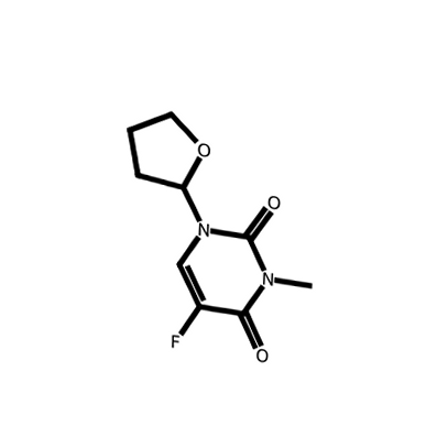 Cn1c(=O)c(F)cn(C2CCCO2)c1=O